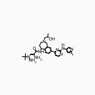 CC(O)CN1CCC(NC(=O)/C(N)=C/N(N)C(C)(C)C)c2ccc(-c3ccnc(Nc4cnn(C)c4)n3)cc2C1